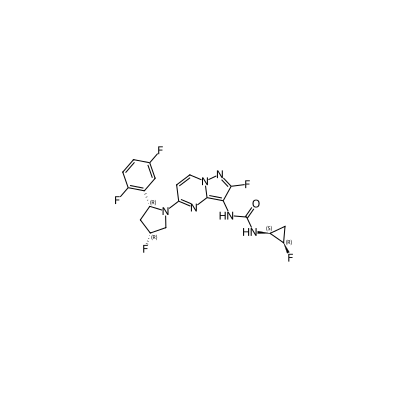 O=C(Nc1c(F)nn2ccc(N3C[C@H](F)C[C@@H]3c3cc(F)ccc3F)nc12)N[C@H]1C[C@H]1F